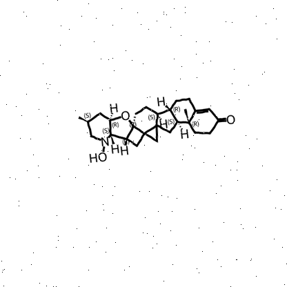 C[C@H]1C[C@H]2O[C@@]34CC[C@H]5[C@@H]6CCC7=CC(=O)CC[C@]7(C)[C@H]6CC56CC63C[C@@H]4[C@@H]2N(O)C1